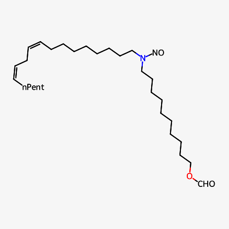 CCCCC/C=C\C/C=C\CCCCCCCCN(CCCCCCCCCCOC=O)N=O